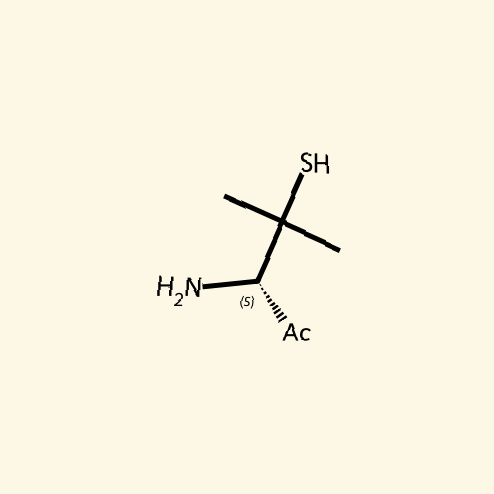 [CH2]C(=O)[C@H](N)C(C)(C)S